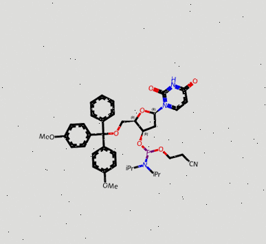 COc1ccc(C(OC[C@H]2O[C@@H](n3ccc(=O)[nH]c3=O)[CH][C@H]2OP(OCCC#N)N(C(C)C)C(C)C)(c2ccccc2)c2ccc(OC)cc2)cc1